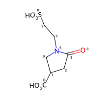 O=C(O)C1CC(=O)N(CCS(=O)(=O)O)C1